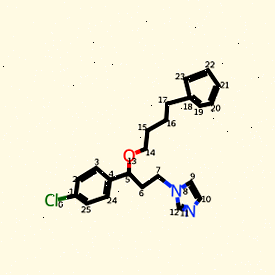 Clc1ccc(C(CCn2ccnc2)OCCCCc2ccccc2)cc1